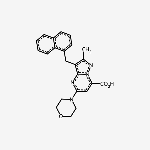 Cc1nn2c(C(=O)O)cc(N3CCOCC3)nc2c1Cc1cccc2ccccc12